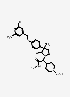 Cc1cc(COc2ccc(C3(N)CCN(C(C(=O)NO)C4CCN(C(=O)O)CC4)C3=O)cc2)cc(C)n1